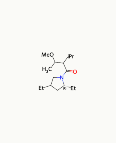 CCC1C[C@@H](CC)N(C(=O)C(C(C)C)C(C)OC)C1